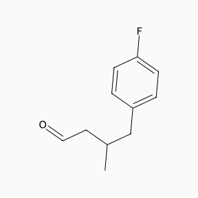 CC(CC=O)Cc1ccc(F)cc1